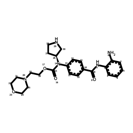 Nc1ccccc1NC(=O)c1ccc(N(C(=O)OCCN2CCOCC2)[C@H]2CCNC2)cc1